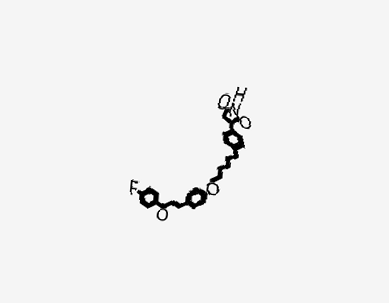 O=C1C=C(c2ccc(CCCCCCOc3ccc(C=CC(=O)c4ccc(F)cc4)cc3)cc2)C(=O)N1